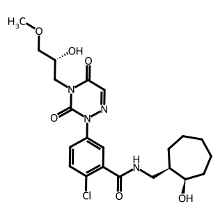 COC[C@H](O)Cn1c(=O)cnn(-c2ccc(Cl)c(C(=O)NC[C@H]3CCCCC[C@H]3O)c2)c1=O